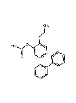 CCCc1ccccc1OC(=O)O.c1ccc(-c2ccccc2)cc1